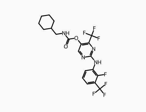 O=C(NCC1CCCCC1)Oc1cnc(Nc2cccc(C(F)(F)F)c2F)nc1C(F)(F)F